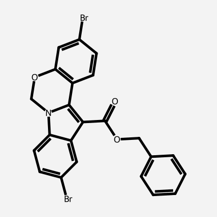 O=C(OCc1ccccc1)c1c2n(c3ccc(Br)cc13)COc1cc(Br)ccc1-2